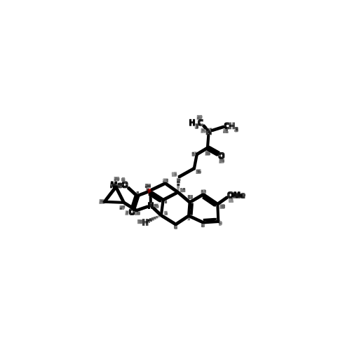 COC(=O)/C=C1\[C@H]2Cc3ccc(OC)cc3[C@]1(CCCC(=O)N(C)C)CCN2CC1CC1